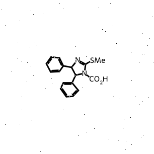 CSC1=NC(c2ccccc2)C(c2ccccc2)N1C(=O)O